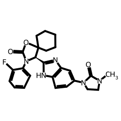 CN1CCN(c2ccc3[nH]c([C@H]4N(c5ccccc5F)C(=O)OC45CCCCC5)nc3c2)C1=O